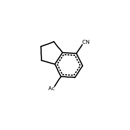 CC(=O)c1ccc(C#N)c2c1CCC2